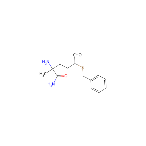 CC(N)(CCC(C=O)SCc1ccccc1)C(N)=O